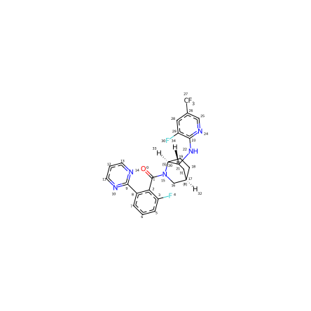 O=C(c1c(F)cccc1-c1ncccn1)N1C[C@@H]2CC[C@H]1[C@H](Nc1ncc(C(F)(F)F)cc1F)C2